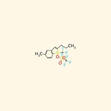 CCCC1=Cc2cc(C)ccc2S1(OS(=O)(=O)C(F)(F)F)C(F)(F)F